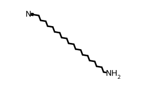 N#CCCCCCCCCCCCCCCCCCCCCN